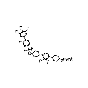 CCCCCC1CCC(c2ccc(C3CCC(OC(F)(F)c4ccc(-c5cc(F)c(F)c(F)c5)c(F)c4)CC3)c(F)c2F)CC1